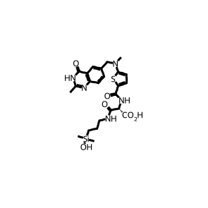 Cc1nc2ccc(CN(C)c3ccc(C(=O)N[C@H](C(=O)O)C(=O)NCCC[Si](C)(C)O)s3)cc2c(=O)[nH]1